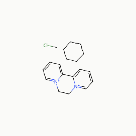 C1CCCCC1.CCl.c1cc[n+]2c(c1)-c1cccc[n+]1CC2